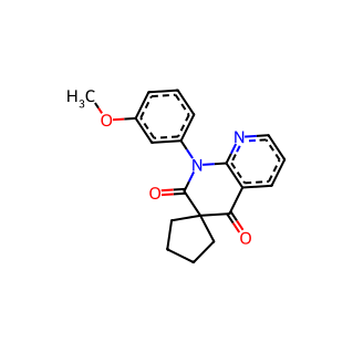 COc1cccc(N2C(=O)C3(CCCC3)C(=O)c3cccnc32)c1